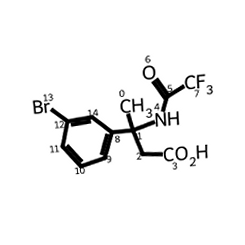 CC(CC(=O)O)(NC(=O)C(F)(F)F)c1cccc(Br)c1